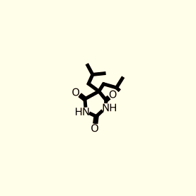 CC(C)CC1(CC(C)C)C(=O)NC(=O)NC1=O